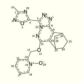 Cc1noc(-c2nnc3c4c(c(OCc5cccc[n+]5[O-])nn23)C2CCC4CC2)n1